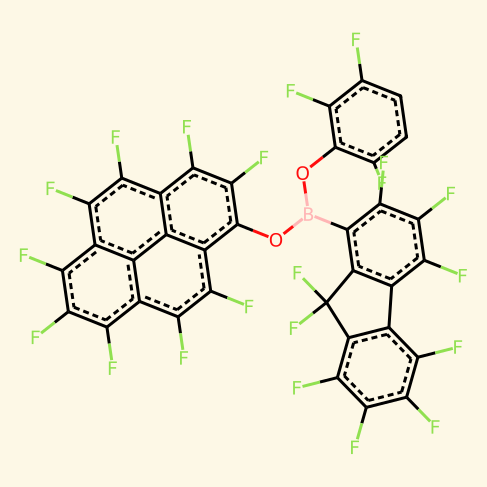 Fc1ccc(F)c(OB(Oc2c(F)c(F)c3c(F)c(F)c4c(F)c(F)c(F)c5c(F)c(F)c2c3c45)c2c(F)c(F)c(F)c3c2C(F)(F)c2c(F)c(F)c(F)c(F)c2-3)c1F